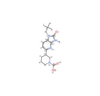 Cn1c(=O)n(CC(C)(C)C)c2ccc(C3CCCN(C(=O)O)C3)nc21